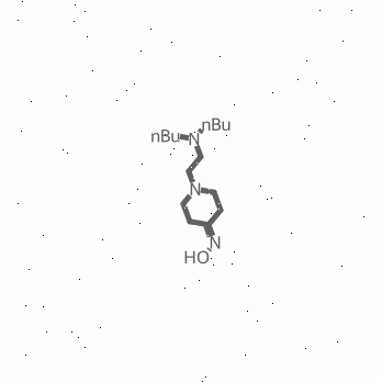 CCCCN(CCCC)CCN1CCC(=NO)CC1